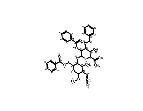 COC1OC(COC(=O)c2ccccc2)C(OC2OC(C(C)=O)C(O)C(OCc3ccccc3)C2OC(=O)c2ccccc2)C(C)C1N=[N+]=[N-]